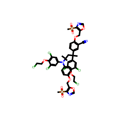 CC(CC(C)(C)N(c1ccc(OCc2ocnc2S(C)(=O)=O)cc1)c1cc(Cl)c(OCCCl)c(Cl)c1)(c1cc(Cl)c(OCCCl)c(Cl)c1)c1ccc(OCc2ocnc2S(C)(=O)=O)c(C#N)c1